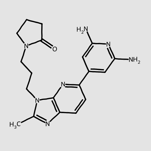 Cc1nc2ccc(-c3cc(N)nc(N)c3)nc2n1CCCN1CCCC1=O